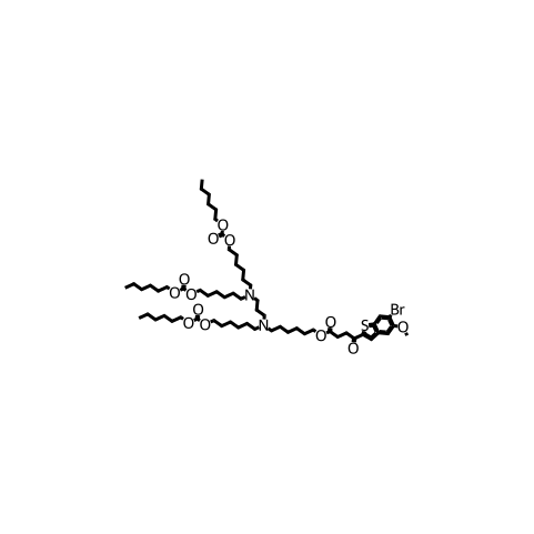 CCCCCCOC(=O)OCCCCCCN(CCCCCCOC(=O)CCC(=O)c1cc2cc(OC)c(Br)cc2s1)CCCN(CCCCCCOC(=O)OCCCCCC)CCCCCCOC(=O)OCCCCCC